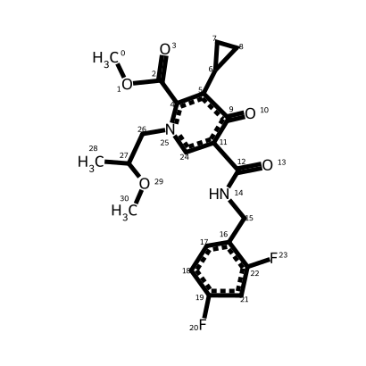 COC(=O)c1c(C2CC2)c(=O)c(C(=O)NCc2ccc(F)cc2F)cn1CC(C)OC